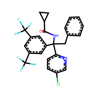 O=C(NC(Cc1ccccc1)(c1cc(C(F)(F)F)cc(C(F)(F)F)c1)c1ccc(Cl)cn1)C1CC1